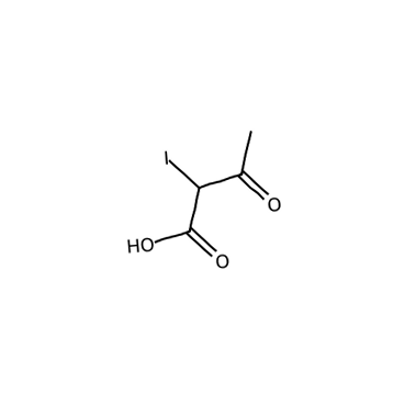 CC(=O)C(I)C(=O)O